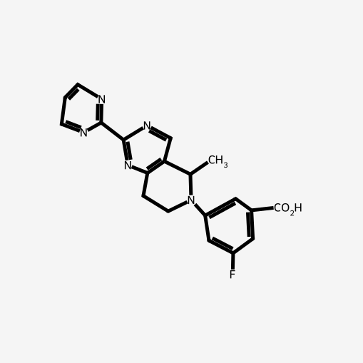 CC1c2cnc(-c3ncccn3)nc2CCN1c1cc(F)cc(C(=O)O)c1